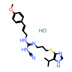 COc1ccc(C=CCNC(=NCCCSc2nc[nH]c2C(C)C)NC#N)cc1.Cl